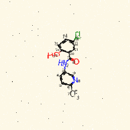 O=C(Nc1ccc(C(F)(F)F)nc1)c1cc(Cl)ccc1O